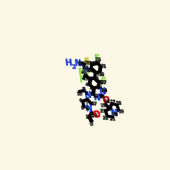 C=CC(=O)N1CCC(N(CC)c2nc(OCC34CCCN3CCC4)nc3c(F)c(-c4ccc(F)c5sc(N)nc45)c(C(F)(F)F)cc23)C1